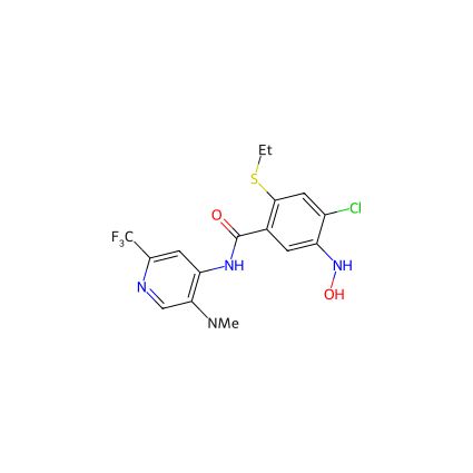 CCSc1cc(Cl)c(NO)cc1C(=O)Nc1cc(C(F)(F)F)ncc1NC